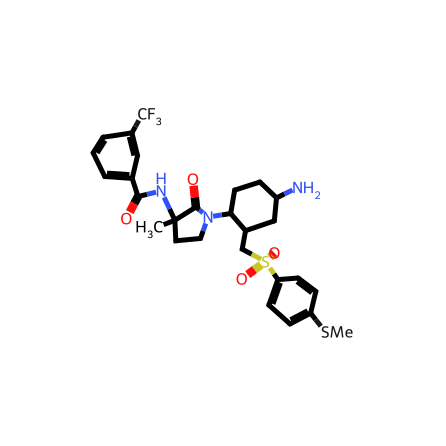 CSc1ccc(S(=O)(=O)CC2CC(N)CCC2N2CCC(C)(NC(=O)c3cccc(C(F)(F)F)c3)C2=O)cc1